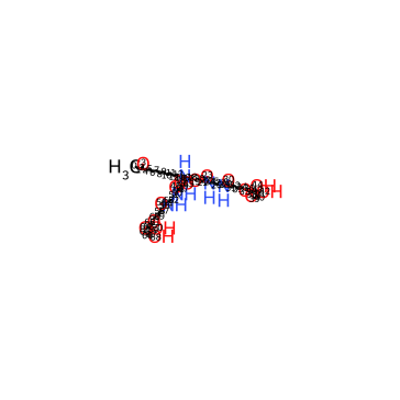 CCC(=O)CCCCCCCCCCC(=O)NC(COCCC(=O)NCCCNC(=O)CCCCOC[C@H]1OCC[C@@H](O)[C@H]1O)OCCC(=O)NCCCNC(=O)CCCCOC[C@H]1OCC[C@@H](O)[C@H]1O